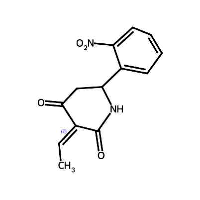 C/C=C1/C(=O)CC(c2ccccc2[N+](=O)[O-])NC1=O